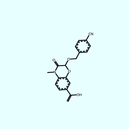 C=C(O)c1ccc2c(c1)OC(OCc1ccc(C#N)cc1)C(=O)N2C